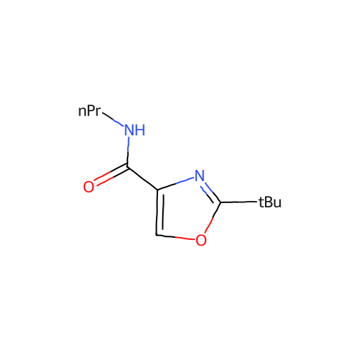 CCCNC(=O)c1coc(C(C)(C)C)n1